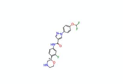 O=C(Nc1ccc([C@@H]2CNCCO2)c(F)c1)c1cnn(-c2ccc(OC(F)F)cc2)c1